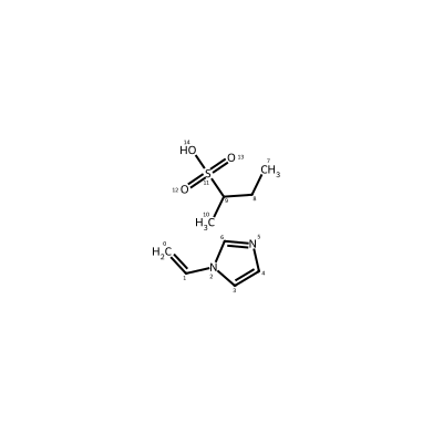 C=Cn1ccnc1.CCC(C)S(=O)(=O)O